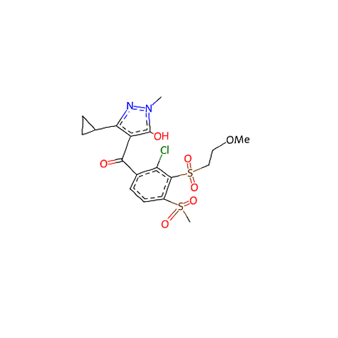 COCCS(=O)(=O)c1c(S(C)(=O)=O)ccc(C(=O)c2c(C3CC3)nn(C)c2O)c1Cl